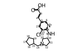 O=C(O)C=Cc1cnc(N[C@@H]2CCN(CC3CCCC3)C2)c(Cl)c1